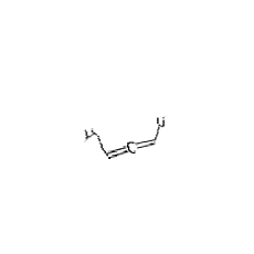 [Li][CH]=C=[CH][Li]